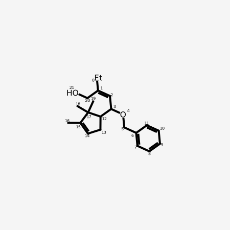 CCC(=CC(OCc1ccccc1)C1CC=C(C)C1(C)C)CO